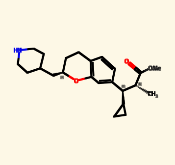 COC(=O)[C@H](C)[C@H](c1ccc2c(c1)O[C@@H](CC1CCNCC1)CC2)C1CC1